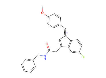 COc1ccc(/C=C2\C=C(CC(=O)NCc3ccccc3)c3cc(F)ccc32)cc1